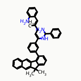 C/C(=C\c1ccccc1N)C/C=C(\NC(N)c1ccccc1)c1cccc(-c2cccc3c2-c2cc4ccccc4cc2C3(C)C)c1